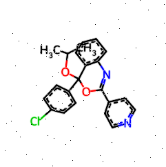 CC(C)OC1(c2ccc(Cl)cc2)OC(c2ccncc2)=Nc2ccccc21